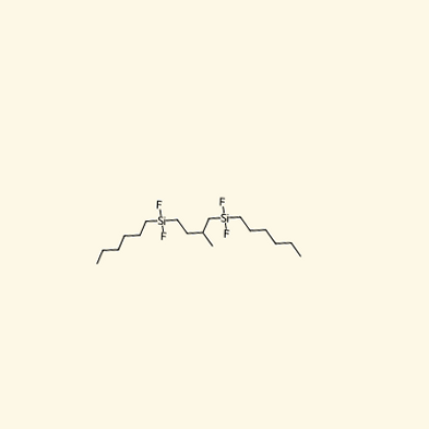 CCCCCC[Si](F)(F)CCC(C)C[Si](F)(F)CCCCCC